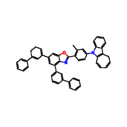 Cc1cc(-n2c3c(c4ccccc42)CC=CC=C3)ccc1-c1nc2c(-c3cccc(-c4ccccc4)c3)cc(C3=CCCC(c4ccccc4)=C3)cc2o1